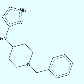 c1ccc(CN2CCC(Nc3cc[nH]n3)CC2)cc1